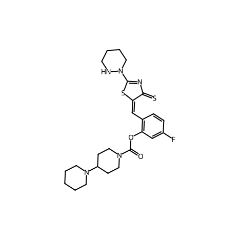 O=C(Oc1cc(F)ccc1C=C1SC(N2CCCCN2)=NC1=S)N1CCC(N2CCCCC2)CC1